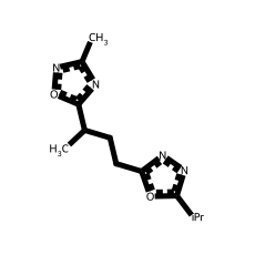 Cc1noc(C(C)CCc2nnc(C(C)C)o2)n1